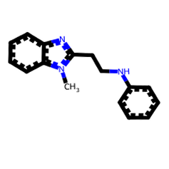 Cn1c(CCNc2ccccc2)nc2ccccc21